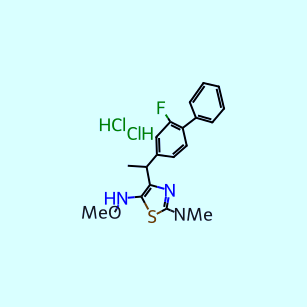 CNc1nc(C(C)c2ccc(-c3ccccc3)c(F)c2)c(NOC)s1.Cl.Cl